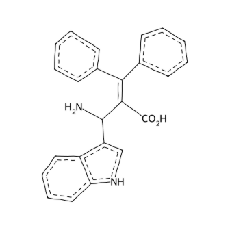 NC(C(C(=O)O)=C(c1ccccc1)c1ccccc1)c1c[nH]c2ccccc12